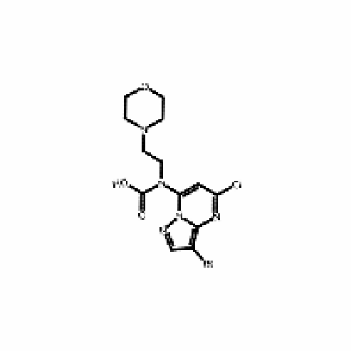 O=C(O)N(CCN1CCOCC1)c1cc(Cl)nc2c(Br)cnn12